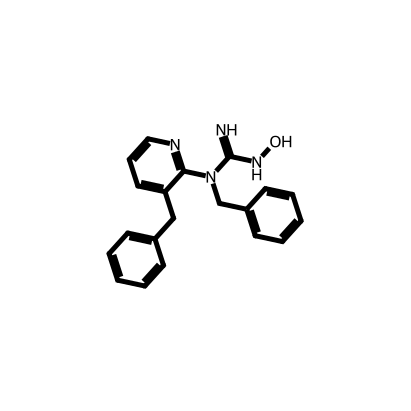 N=C(NO)N(Cc1ccccc1)c1ncccc1Cc1ccccc1